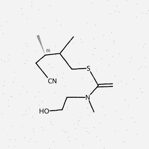 C=C(SCC(C)[C@@H](C)CC#N)N(C)CCO